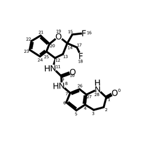 O=C1CCc2ccc(NC(=O)N[C@@H]3CC(CF)(CF)Oc4ccccc43)cc2N1